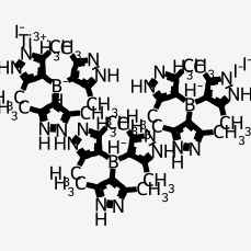 Cc1n[nH]c(C)c1[BH-](c1c(C)n[nH]c1C)c1c(C)n[nH]c1C.Cc1n[nH]c(C)c1[BH-](c1c(C)n[nH]c1C)c1c(C)n[nH]c1C.Cc1n[nH]c(C)c1[BH-](c1c(C)n[nH]c1C)c1c(C)n[nH]c1C.[I-].[I-].[I-].[Ti+3]